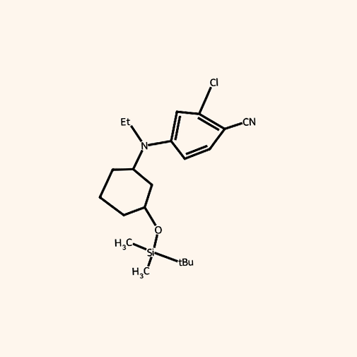 CCN(c1ccc(C#N)c(Cl)c1)C1CCCC(O[Si](C)(C)C(C)(C)C)C1